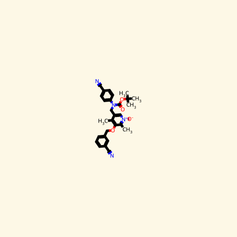 Cc1c(CN(C(=O)OC(C)(C)C)c2ccc(C#N)cc2)c[n+]([O-])c(C)c1OCc1cccc(C#N)c1